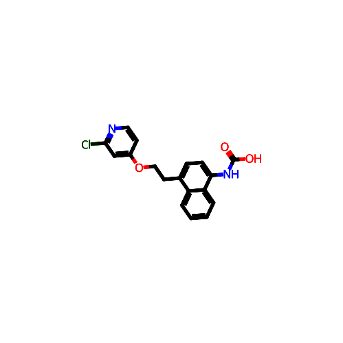 O=C(O)Nc1ccc(CCOc2ccnc(Cl)c2)c2ccccc12